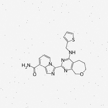 NC(=O)c1cccn2c(-c3nc4c(c(NCc5cccs5)n3)CCCOC4)ncc12